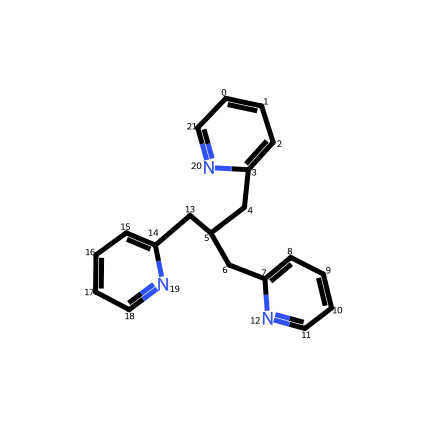 c1ccc(CC(Cc2ccccn2)Cc2ccccn2)nc1